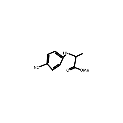 COC(=O)C(C)Nc1ccc(C#N)cc1